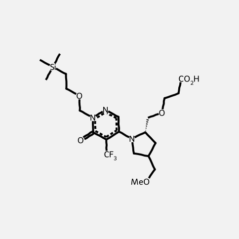 COCC1C[C@@H](COCCC(=O)O)N(c2cnn(COCC[Si](C)(C)C)c(=O)c2C(F)(F)F)C1